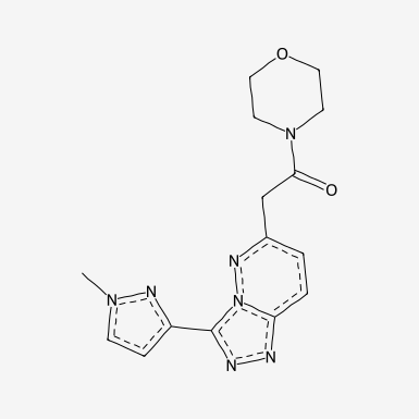 Cn1ccc(-c2nnc3ccc(CC(=O)N4CCOCC4)nn23)n1